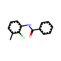 Cc1cccc(NC(=O)c2ccccc2)c1Cl